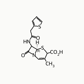 CC1=CN2C(=O)C(NC(=O)Cc3cccs3)[C@H]2SC1C(=O)O